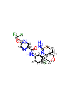 NC1=N[C@@]2(c3cc(NC(=O)c4cnc(OC(F)F)cn4)ccc3F)CCOC[C@H]2CS1